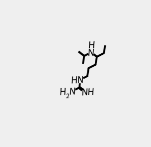 CCC(CCCNC(=N)N)NC(C)C